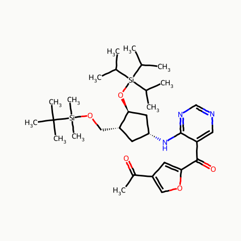 CC(=O)c1coc(C(=O)c2cncnc2N[C@@H]2C[C@H](CO[Si](C)(C)C(C)(C)C)[C@@H](O[Si](C(C)C)(C(C)C)C(C)C)C2)c1